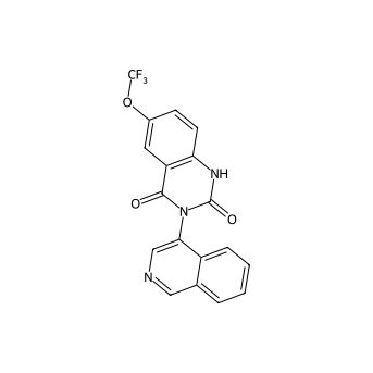 O=c1[nH]c2ccc(OC(F)(F)F)cc2c(=O)n1-c1cncc2ccccc12